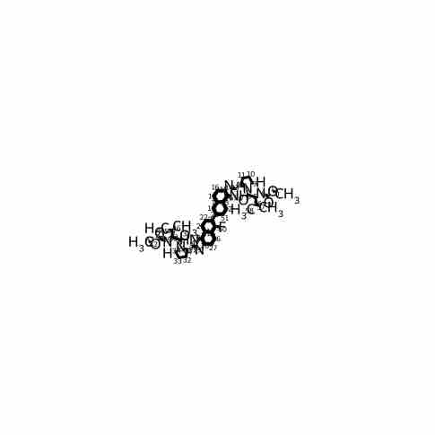 COC(=O)NC(C(=O)N1CCC[C@H]1c1nc2ccc3cc(-c4ccc5c(ccc6nc([C@@H]7CCCN7C(=O)[C@@H](NC(=O)OC)C(C)C)[nH]c65)c4F)ccc3c2[nH]1)C(C)C